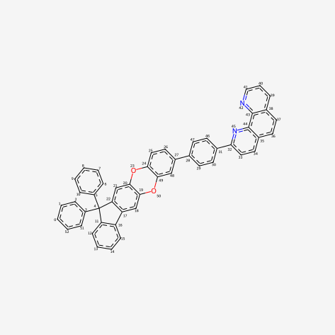 c1ccc(C2(c3ccccc3)c3ccccc3-c3cc4c(cc32)Oc2ccc(-c3ccc(-c5ccc6ccc7cccnc7c6n5)cc3)cc2O4)cc1